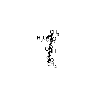 C=CC(=O)OCCNC(=O)OCCOC(=O)/C(C=C(C)C)=C/C